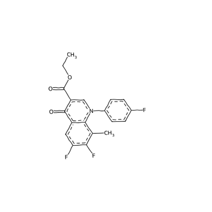 CCOC(=O)c1cn(-c2ccc(F)cc2)c2c(C)c(F)c(F)cc2c1=O